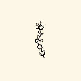 Cc1cnc(N2CCC(N3CC[C@@H](OC[C@H](C)Oc4cn[nH]c(=O)c4C)C3=O)CC2)nc1